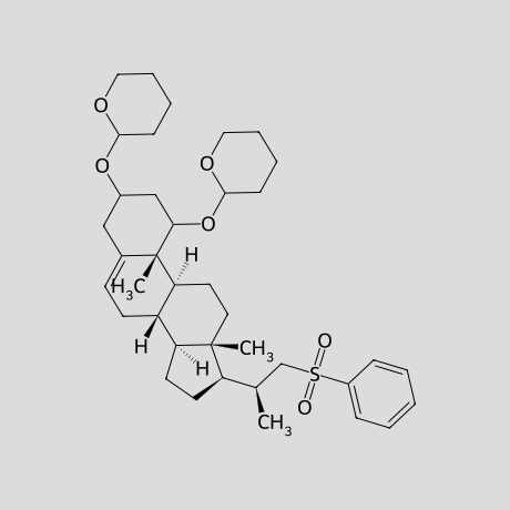 C[C@H](CS(=O)(=O)c1ccccc1)[C@H]1CC[C@H]2[C@@H]3CC=C4CC(OC5CCCCO5)CC(OC5CCCCO5)[C@]4(C)[C@H]3CC[C@]12C